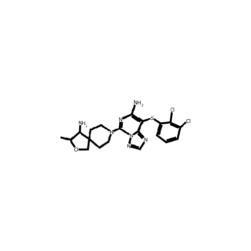 CC1OCC2(CCN(c3nc(N)c(Sc4cccc(Cl)c4Cl)c4ncnn34)CC2)C1N